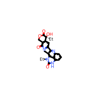 CCN1C(=O)Nc2cccc3nc4c(c1c23)Cn1c-4cc2c(c1=O)COC(=O)[C@]2(O)CC